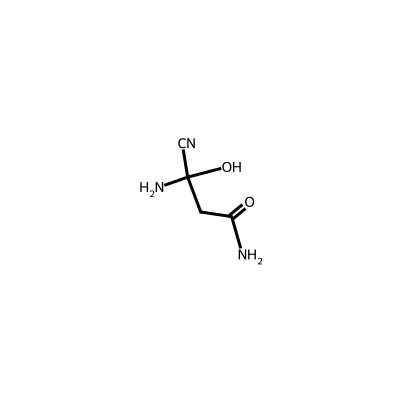 N#CC(N)(O)CC(N)=O